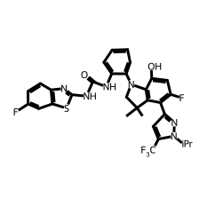 CC(C)n1nc(-c2c(F)cc(O)c3c2C(C)(C)CN3c2ccccc2NC(=O)Nc2nc3ccc(F)cc3s2)cc1C(F)(F)F